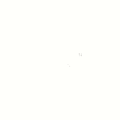 C(=Cc1ccccc1)C=Nc1ccccn1